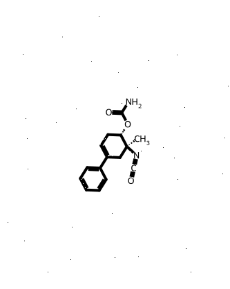 C[C@]1(N=C=O)CC(c2ccccc2)=CC[C@@H]1OC(N)=O